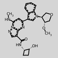 CNc1cc(-c2cn([C@H]3COC[C@@H]3OC)c3ccccc23)nc2c(C(=O)N[C@H]3CC[C@H]3O)cnn12